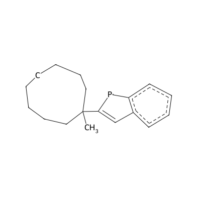 CC1(C2=Cc3ccccc3[P]2)CCCCCCCC1